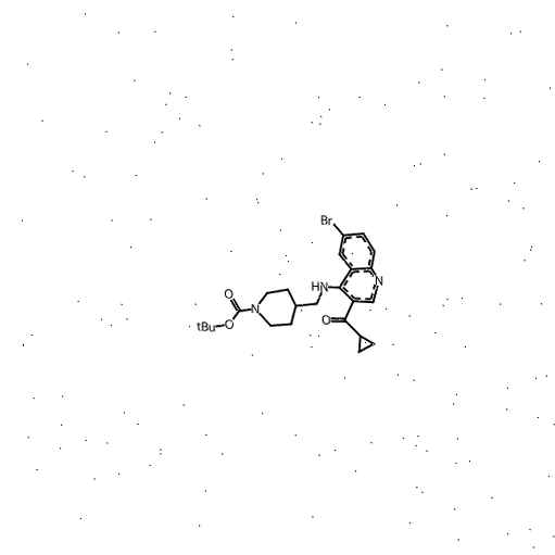 CC(C)(C)OC(=O)N1CCC(CNc2c(C(=O)C3CC3)cnc3ccc(Br)cc23)CC1